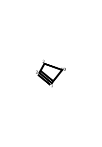 [C]1C#CC1